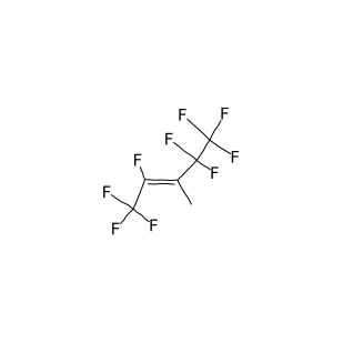 C/C(=C(/F)C(F)(F)F)C(F)(F)C(F)(F)F